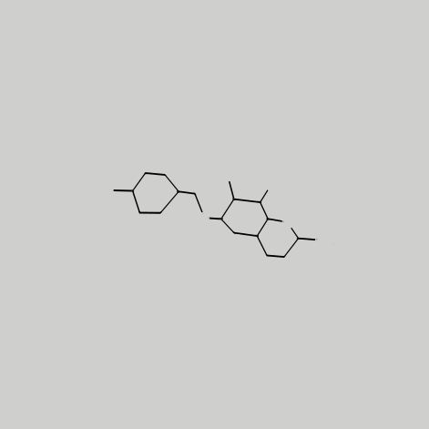 CC1CCC(COC2CC3CCC(C)OC3C(F)C2F)CC1